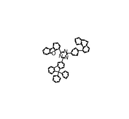 c1ccc(C2(c3ccccc3)c3ccccc3-c3cc(-c4nc(-c5ccc(-c6cccc7ccc8ccccc8c67)cc5)nc(-c5cccc6c5oc5ccccc56)n4)ccc32)cc1